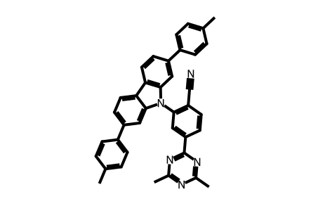 Cc1ccc(-c2ccc3c4ccc(-c5ccc(C)cc5)cc4n(-c4cc(-c5nc(C)nc(C)n5)ccc4C#N)c3c2)cc1